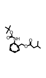 CC(C)CC(=O)OCc1ccccc1NC(=O)OC(C)(C)C